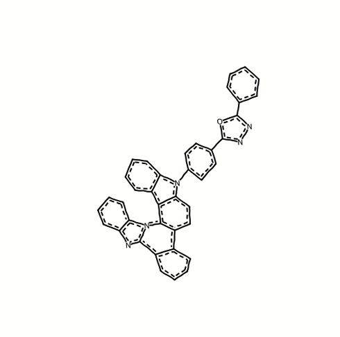 c1ccc(-c2nnc(-c3ccc(-n4c5ccccc5c5c4ccc4c6ccccc6c6nc7ccccc7n6c45)cc3)o2)cc1